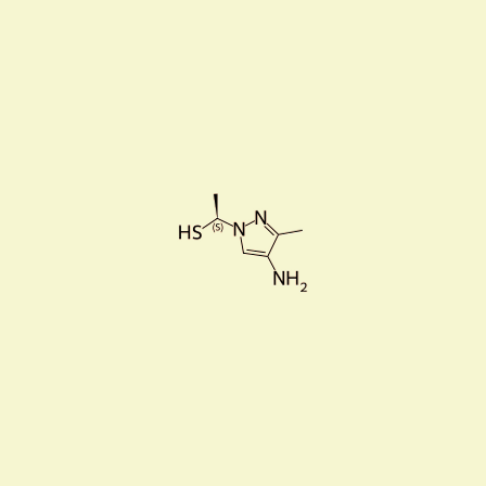 Cc1nn([C@H](C)S)cc1N